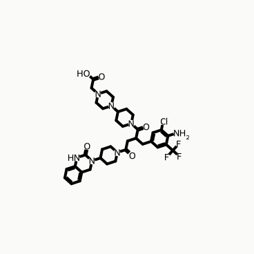 Nc1c(Cl)cc(CC(CC(=O)N2CCC(N3Cc4ccccc4NC3=O)CC2)C(=O)N2CCC(N3CCN(CC(=O)O)CC3)CC2)cc1C(F)(F)F